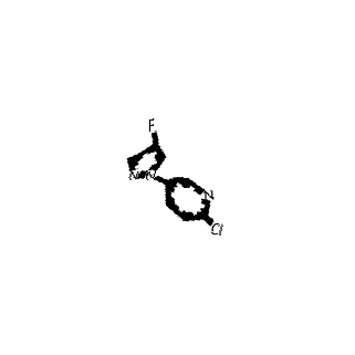 Fc1cnn(-c2ccc(Cl)nc2)c1